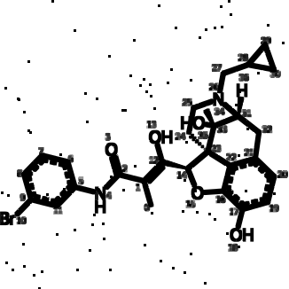 C/C(C(=O)Nc1cccc(Br)c1)=C(/O)[C@@H]1Oc2c(O)ccc3c2[C@@]12CCN(CC1CC1)[C@H](C3)[C@@]2(C)O